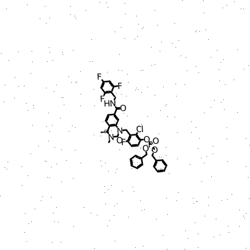 C[C@H]1c2ccc(C(=O)NCc3c(F)cc(F)cc3F)cc2N(Cc2c(F)ccc(OP(=O)(OCc3ccccc3)OCc3ccccc3)c2Cl)C(=O)N1C